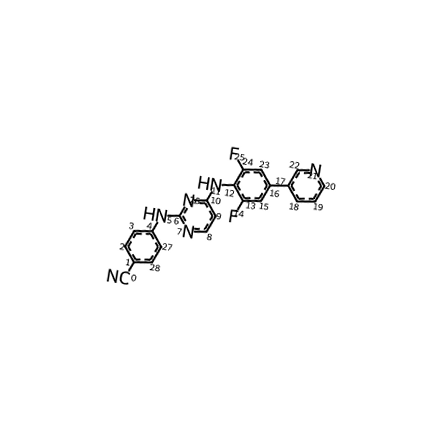 N#Cc1ccc(Nc2nccc(Nc3c(F)cc(-c4cccnc4)cc3F)n2)cc1